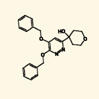 OC1(c2cc(OCc3ccccc3)c(OCc3ccccc3)nn2)CCOCC1